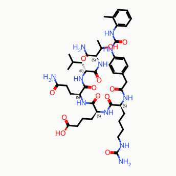 Cc1ccccc1NC(=O)Nc1ccc(CC(=O)N[C@@H](CCCCNC(N)=O)C(=O)N[C@@H](CCCC(=O)O)C(=O)N[C@@H](CCC(N)=O)C(=O)N[C@H](CC(C)C)C(=O)N[C@H](C(N)=O)C(C)O)cc1